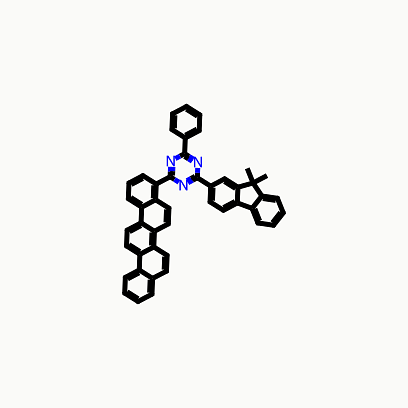 CC1(C)c2ccccc2-c2ccc(-c3nc(-c4ccccc4)nc(-c4cccc5c4ccc4c5ccc5c6ccccc6ccc54)n3)cc21